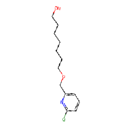 OCCCCCCCOCc1cccc(Cl)n1